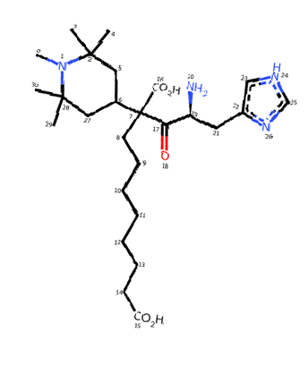 CN1C(C)(C)CC(C(CCCCCCCC(=O)O)(C(=O)O)C(=O)[C@@H](N)Cc2c[nH]cn2)CC1(C)C